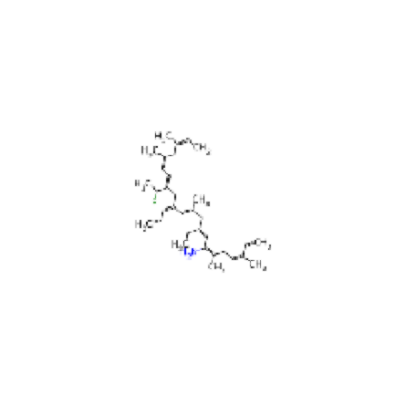 C=C/C=C(\C=C(/C)C/C(=C/C(N)=C(/C)C/C=C(/C)C=C)CC)C/C(=C/C=C(/C)C/C(C)=C\C)C(C)F